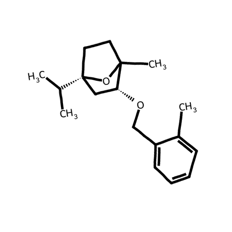 Cc1ccccc1CO[C@@H]1C[C@@]2(C(C)C)CCC1(C)O2